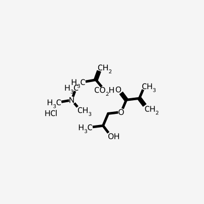 C=C(C)C(=O)O.C=C(C)C(=O)OCC(C)O.CN(C)C.Cl